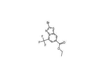 CCOC(=O)c1cc(C(F)(F)F)c2nc(Br)sc2c1